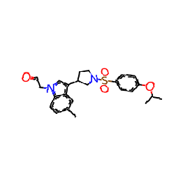 Cc1ccc2c(c1)c(C1CCN(S(=O)(=O)c3ccc(OC(C)C)cc3)C1)cn2CC=O